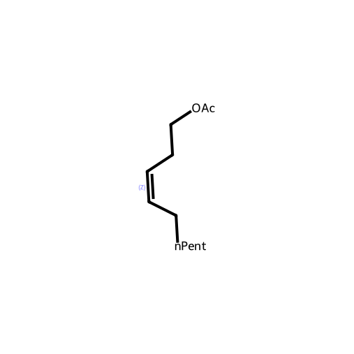 CCCCCC/C=C\CCOC(C)=O